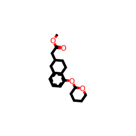 COC(=O)CC1CCc2c(cccc2OC2CCCCO2)C1